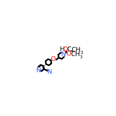 CC(C)(C)OC(=O)N1CCC(CO[C@H]2CC[C@@H](c3ccncc3C#N)CC2)CC1